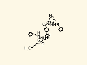 CCCCCCNC(=O)[C@H](Cn1cc(-c2ccc(C(=O)N3C[C@@H](C)[C@H](C(=O)N[C@H]4C[C@@H]4c4ccccc4)C3)cc2)nn1)NC(=O)NCCc1ccccc1